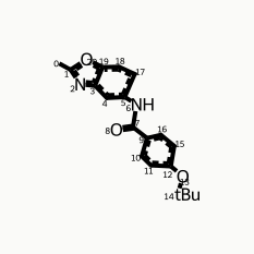 Cc1nc2cc(NC(=O)c3ccc(OC(C)(C)C)cc3)ccc2o1